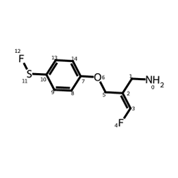 NC/C(=C/F)COc1ccc(SF)cc1